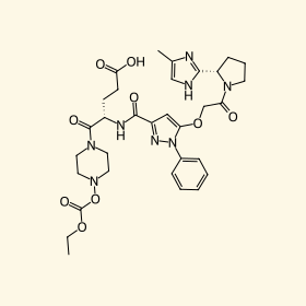 CCOC(=O)ON1CCN(C(=O)[C@H](CCC(=O)O)NC(=O)c2cc(OCC(=O)N3CCC[C@H]3c3nc(C)c[nH]3)n(-c3ccccc3)n2)CC1